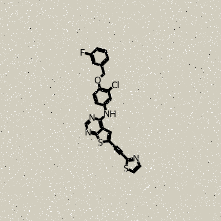 Fc1cccc(COc2ccc(Nc3ncnc4sc(C#Cc5nccs5)cc34)cc2Cl)c1